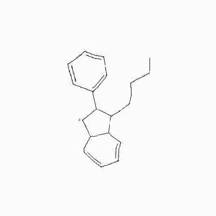 CCCCC1C(c2ccccc2)[C]C2C=CC=CC21